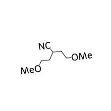 COCCC(C#N)CCOC